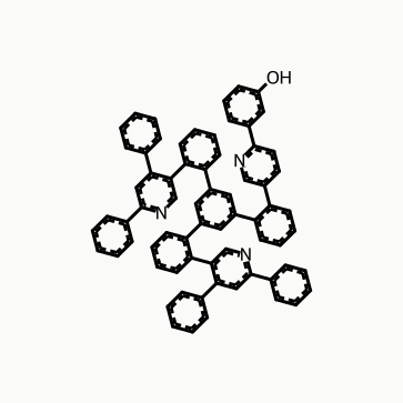 Oc1cccc(-c2ccc(-c3ccccc3-c3cc(-c4ccccc4-c4cnc(-c5ccccc5)cc4-c4ccccc4)cc(-c4ccccc4-c4cnc(-c5ccccc5)cc4-c4ccccc4)c3)cn2)c1